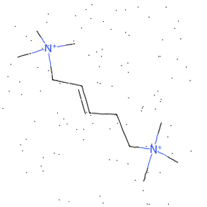 C[N+](C)(C)C/C=C/CC[N+](C)(C)C